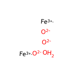 O.[Fe+3].[Fe+3].[O-2].[O-2].[O-2]